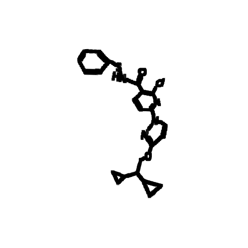 O=C(NSc1ccccc1)c1ccc(-n2ccc(OCC(C3CC3)C3CC3)n2)nc1Cl